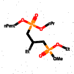 CCCCCOP(=O)(CC(CC)CP(=O)(OC)OCC)OCCC